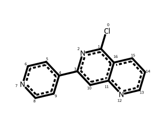 Clc1nc(-c2ccncc2)cc2ncccc12